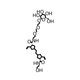 C=CC1CC(CCC2CC(C=C)[C@H](C(=O)NCCOCCOCCO[C@@H]3O[C@H](CO)[C@H](O)[C@H](O)[C@H]3O)C2)C[C@@H]1C(=O)NCCO